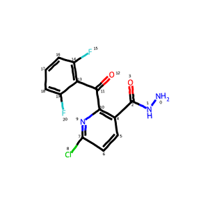 NNC(=O)c1ccc(Cl)nc1C(=O)c1c(F)cccc1F